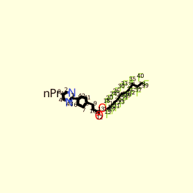 CCCc1cnc(-c2ccc(C=CC(=O)OC(F)C(F)(F)C(F)(F)C(F)(F)C(F)(F)C(F)(F)C(F)(F)C(F)C(F)C(F)F)cc2)nc1